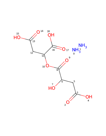 N.N.O=C(O)CC(O)C(=O)OC(CC(=O)O)C(=O)O